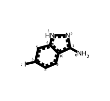 Nc1n[nH]c2cc(I)ccc12